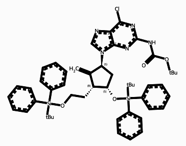 C=C1[C@@H](CCO[Si](c2ccccc2)(c2ccccc2)C(C)(C)C)[C@@H](O[Si](c2ccccc2)(c2ccccc2)C(C)(C)C)C[C@@H]1n1cnc2c(Cl)nc(NC(=O)OC(C)(C)C)nc21